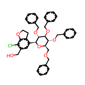 OCc1cc([C@@H]2O[C@H](COCc3ccccc3)[C@@H](OCc3ccccc3)[C@H](OCc3ccccc3)[C@H]2OCc2ccccc2)c2c(c1Cl)OCC2